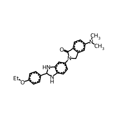 CCOc1ccc(C2Nc3ccc(N4Cc5cc(N(C)C)ccc5C4=O)cc3N2)cc1